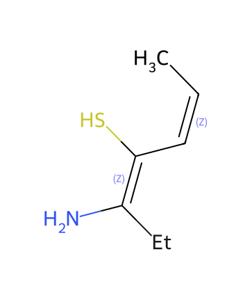 C/C=C\C(S)=C(\N)CC